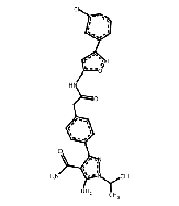 CC(C)n1nc(-c2ccc(CC(=O)Nc3cc(-c4cccc(Cl)c4)no3)cc2)c(C(N)=O)c1N